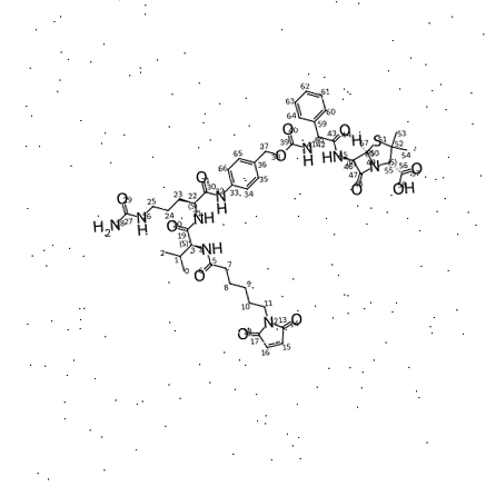 CC(C)[C@H](NC(=O)CCCCCN1C(=O)C=CC1=O)C(=O)N[C@@H](CCCNC(N)=O)C(=O)Nc1ccc(COC(=O)N[C@@H](C(=O)N[C@@H]2C(=O)N3[C@@H]2SC(C)(C)[C@@H]3C(=O)O)c2ccccc2)cc1